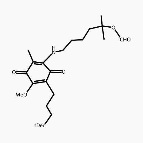 CCCCCCCCCCCCCC1=C(OC)C(=O)C(C)=C(NCCCCC(C)(C)OC=O)C1=O